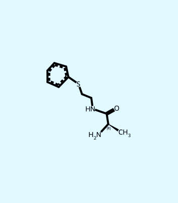 C[C@@H](N)C(=O)NCCSc1ccccc1